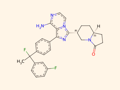 CC(F)(c1ccc(-c2nc([C@@H]3CC[C@H]4CCC(=O)N4C3)n3ccnc(N)c23)cc1)c1cccc(F)c1